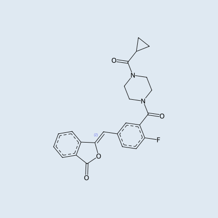 O=C1O/C(=C\c2ccc(F)c(C(=O)N3CCN(C(=O)C4CC4)CC3)c2)c2ccccc21